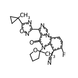 CC1(c2nc(-c3ncn4c3c(=O)n(C3(C)CCCO3)c3c(C#N)c(F)ccc34)no2)CC1